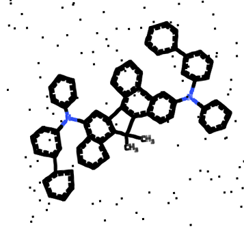 CC1(C)c2c(cc(N(c3ccccc3)c3cccc(-c4ccccc4)c3)c3ccccc23)-c2c1c1ccc(N(c3ccccc3)c3cccc(-c4ccccc4)c3)cc1c1ccccc21